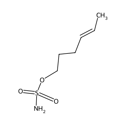 CC=CCCCOS(N)(=O)=O